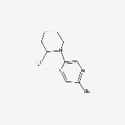 CCC(C)c1cnc(N2CCCCC2C)cn1